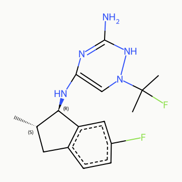 C[C@H]1Cc2ccc(F)cc2[C@@H]1NC1=CN(C(C)(C)F)NC(N)=N1